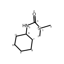 C[Si](C)C(=O)NC1CCCCC1